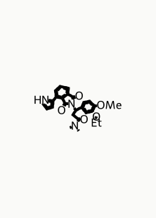 CCOc1cc(C(CC(=O)N(C)C)N2C(=O)c3cccc(-c4ccc[nH]4)c3C2=O)ccc1OC